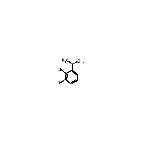 [CH2]C(C)c1cccc(I)c1Cl